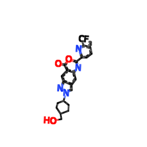 O=c1oc(-c2cccc(C(F)(F)F)n2)nc2cc3cn(C4CCC(CO)CC4)nc3cc12